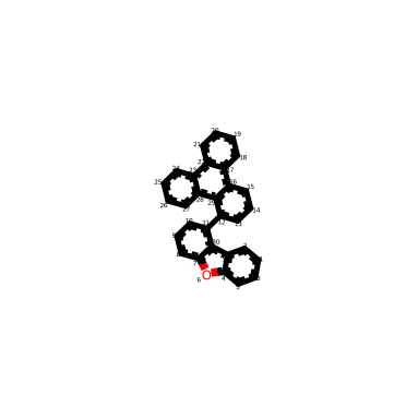 c1ccc2c(c1)oc1cccc(-c3cccc4c5ccccc5c5ccccc5c34)c12